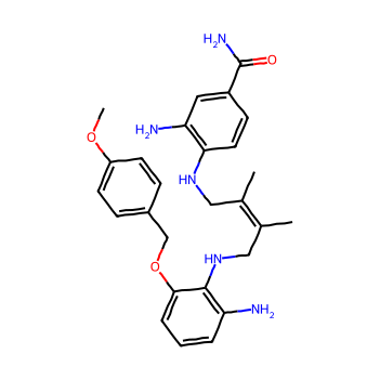 COc1ccc(COc2cccc(N)c2NCC(C)=C(C)CNc2ccc(C(N)=O)cc2N)cc1